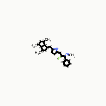 C=N/C(=C(F)\C=C1/CC=C(CC2CC(C)C3C(C)CC(C)C23)N1)c1ccccc1